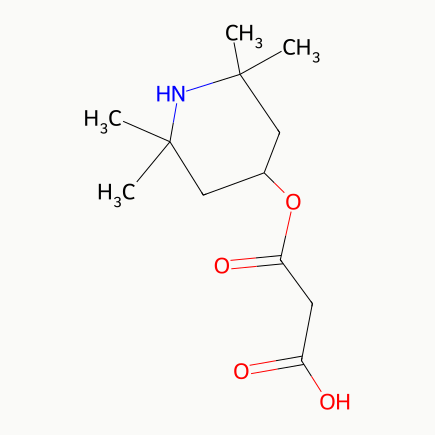 CC1(C)CC(OC(=O)CC(=O)O)CC(C)(C)N1